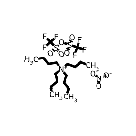 CCCC[N+](CCCC)(CCCC)CCCC.O=S(=O)(OS(=O)(=O)C(F)(F)F)C(F)(F)F.O=[N+]([O-])[O-]